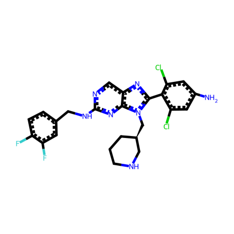 Nc1cc(Cl)c(-c2nc3cnc(NCc4ccc(F)c(F)c4)nc3n2C[C@@H]2CCCNC2)c(Cl)c1